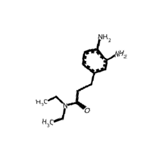 CCN(CC)C(=O)CCc1ccc(N)c(N)c1